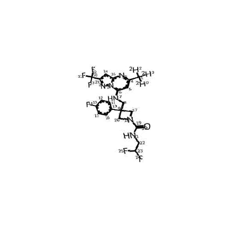 [2H]C([2H])([2H])c1cc(NCC2(c3ccc(F)cc3)CN(C(=O)NCC(F)F)C2)n2nc(C(F)(F)F)cc2n1